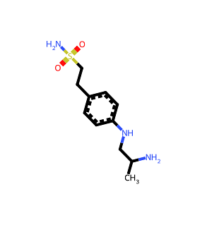 CC(N)CNc1ccc(CCS(N)(=O)=O)cc1